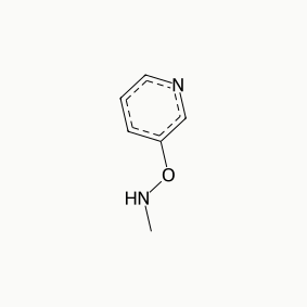 CNOc1cccnc1